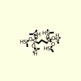 C[SiH](C)O[Si](CCC[Si](O[SiH](C)C)(O[SiH](C)C)O[SiH](C)C)(O[SiH](C)C)O[SiH](C)C